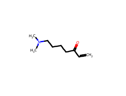 C=CC(=O)CCCCN(C)C